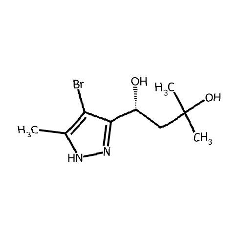 Cc1[nH]nc([C@H](O)CC(C)(C)O)c1Br